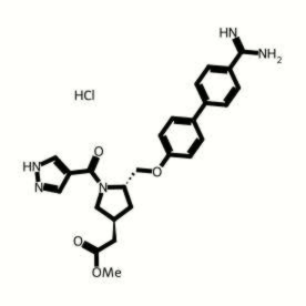 COC(=O)C[C@@H]1C[C@@H](COc2ccc(-c3ccc(C(=N)N)cc3)cc2)N(C(=O)c2cn[nH]c2)C1.Cl